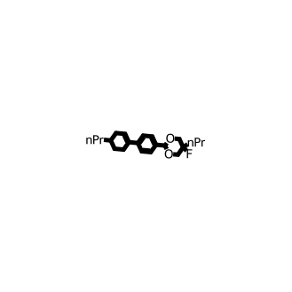 CCCC1CC=C(c2ccc(C3OCC(F)(CCC)CO3)cc2)CC1